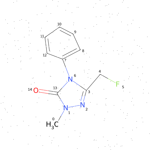 Cn1nc(CF)n(-c2ccccc2)c1=O